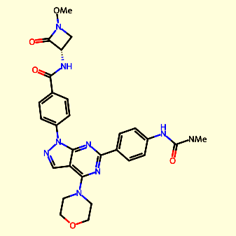 CNC(=O)Nc1ccc(-c2nc(N3CCOCC3)c3cnn(-c4ccc(C(=O)N[C@H]5CN(OC)C5=O)cc4)c3n2)cc1